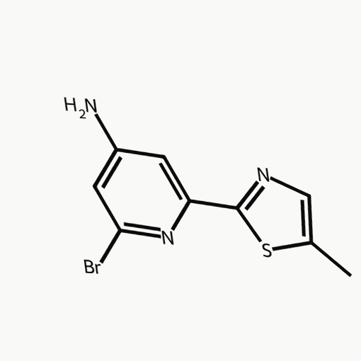 Cc1cnc(-c2cc(N)cc(Br)n2)s1